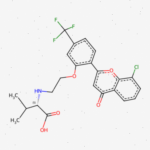 CC(C)[C@H](NCCOc1cc(C(F)(F)F)ccc1-c1cc(=O)c2cccc(Cl)c2o1)C(=O)O